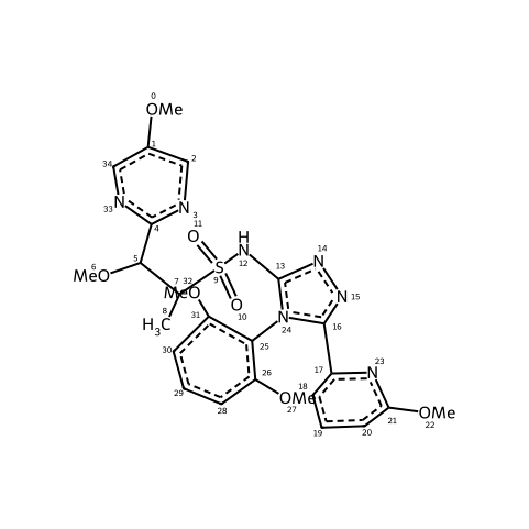 COc1cnc(C(OC)C(C)S(=O)(=O)Nc2nnc(-c3cccc(OC)n3)n2-c2c(OC)cccc2OC)nc1